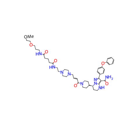 COCCOCCCNC(=O)CCCC(=O)NCCN1CCN(C/C=C/C(=O)N2CCC([C@@H]3CCNc4c(C(N)=O)c(-c5ccc(Oc6ccccc6)cc5)nn43)CC2)CC1